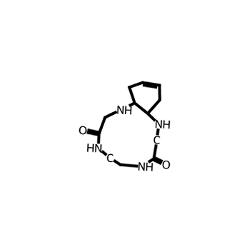 O=C1CNC2CC=CCC2NCC(=O)NCCN1